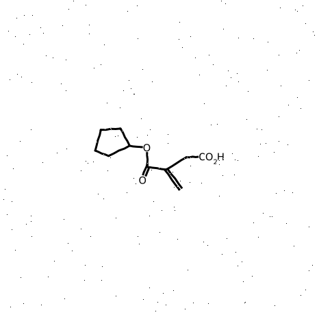 C=C(CC(=O)O)C(=O)OC1CCCC1